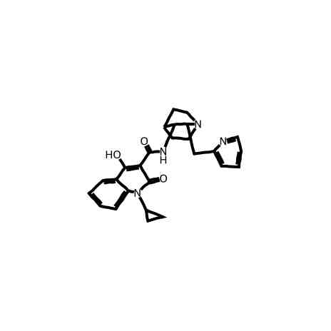 O=C(NC1C2CCN(CC2)C1Cc1ccccn1)c1c(O)c2ccccc2n(C2CC2)c1=O